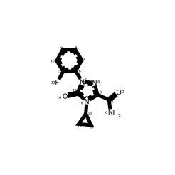 NC(=O)c1nn(-c2ccccc2F)c(=O)n1C1CC1